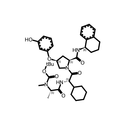 C[C@@H](C(=O)N[C@H](C(=O)N1C[C@@H](Oc2cccc(O)c2)C[C@H]1C(=O)N[C@@H]1CCCc2ccccc21)C1CCCCC1)N(C)C(=O)OC(C)(C)C